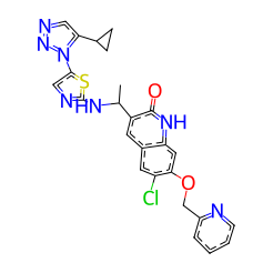 CC(Nc1ncc(-n2nncc2C2CC2)s1)c1cc2cc(Cl)c(OCc3ccccn3)cc2[nH]c1=O